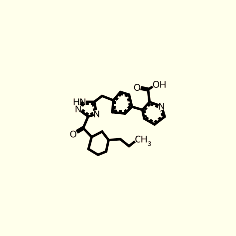 CCCC1CCCC(C(=O)c2n[nH]c(Cc3ccc(-c4cccnc4C(=O)O)cc3)n2)C1